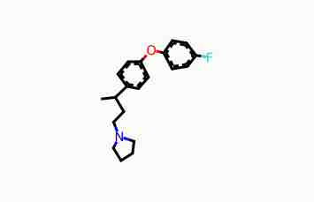 CC(CCN1CCCC1)c1ccc(Oc2ccc(F)cc2)cc1